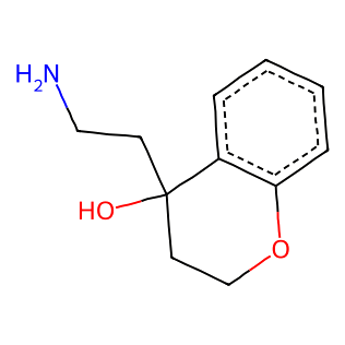 NCCC1(O)CCOc2ccccc21